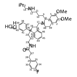 COc1cc2c(cc1OC)C(CCCCNCC(C)C)N(CCCC(CCCNC(=O)CCc1ccc(F)cc1)(c1ccccc1)c1ccccc1)CC2.Cl.Cl